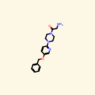 NCC(=O)N1CCN(c2ccc(OCc3ccccc3)cn2)CC1